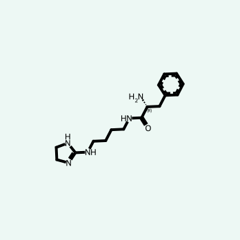 N[C@H](Cc1ccccc1)C(=O)NCCCCNC1=NCCN1